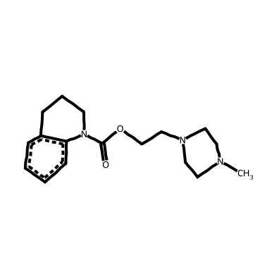 CN1CCN(CCOC(=O)N2CCCc3ccccc32)CC1